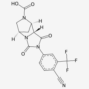 N#Cc1ccc(N2C(=O)[C@H]3[C@H]4C[C@H](CN4C(=O)O)N3C2=O)cc1C(F)(F)F